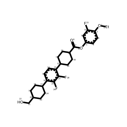 CCOc1ccc(OC(=O)C2CCC(c3ccc(C4CCC(CO)CC4)c(F)c3F)CC2)cc1F